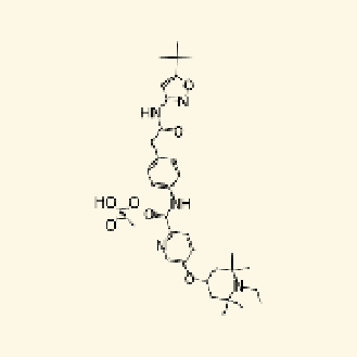 CCN1C(C)(C)CC(Oc2ccc(C(=O)Nc3ccc(CC(=O)Nc4cc(C(C)(C)C)on4)cc3)nc2)CC1(C)C.CS(=O)(=O)O